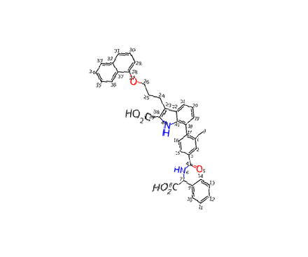 Cc1cc(C(=O)NC(C(=O)O)c2ccccc2)ccc1-c1cccc2c(CCCOc3cccc4ccccc34)c(C(=O)O)[nH]c12